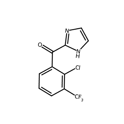 O=C(c1ncc[nH]1)c1cccc(C(F)(F)F)c1Cl